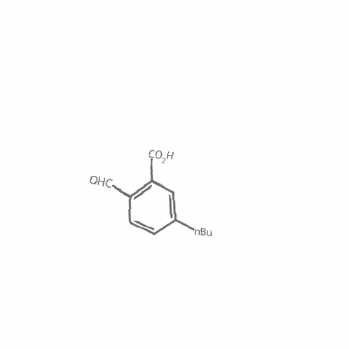 CCCCc1ccc(C=O)c(C(=O)O)c1